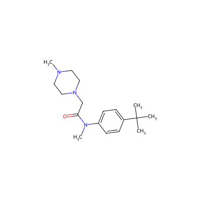 CN1CCN(CC(=O)N(C)c2ccc(C(C)(C)C)cc2)CC1